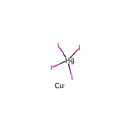 [Cu].[I][Hg]([I])([I])[I]